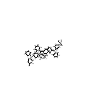 Cc1ccc(N(c2ccccc2)c2ccc3c4c(c5ccccc5c3c2)-c2cc3ccc(N(c5ccccc5)c5ccc([Si](C)(C)C)cc5)cc3cc2C4([Si](C)(C)C)[Si](C)(C)C)cc1